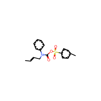 CC=CCN(C(=O)OS(=O)(=O)c1ccc(C)cc1)c1ccccc1